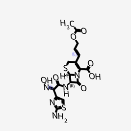 CC(=O)OC/C=C/C1=C(C(=O)O)N2C(=O)[C@@H](NC(=O)/C(=N\O)c3csc(N)n3)[C@H]2SC1